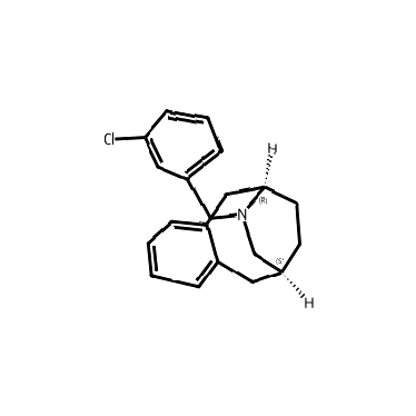 Clc1cccc(CN2C[C@H]3CC[C@@H]2Cc2ccccc2C3)c1